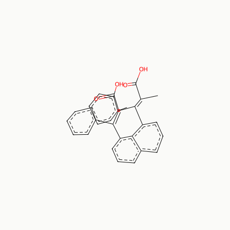 CC(C(=O)O)=C(c1ccccc1)c1cccc2cccc(/C(=C(\C)C(=O)O)c3ccccc3)c12